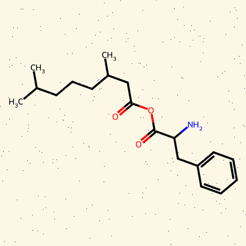 CC(C)CCCC(C)CC(=O)OC(=O)C(N)Cc1ccccc1